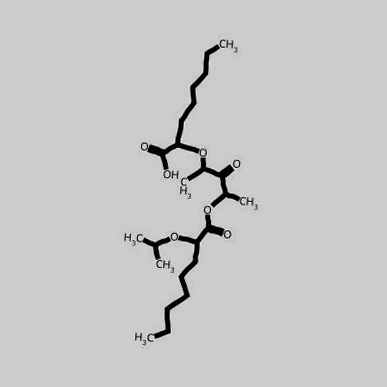 CCCCCCC(OC(C)C(=O)C(C)OC(=O)C(CCCCCC)OC(C)C)C(=O)O